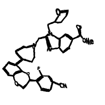 COC(=O)c1ccc2nc(CN3CCC(c4cccc5c4OC(c4ccc(C#N)cc4F)CO5)CC3)n(CC3CCO3)c2c1